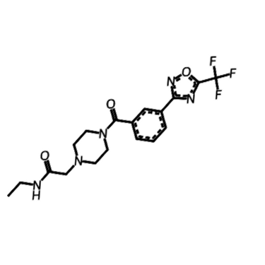 CCNC(=O)CN1CCN(C(=O)c2cccc(-c3noc(C(F)(F)F)n3)c2)CC1